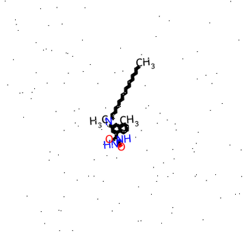 CCCCCCCCCCCCCCCCCCN(C)Cc1cc(C2NC(=O)NC2=O)c2cccc(C)c2c1